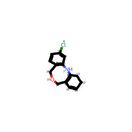 Clc1ccc2c(c1)NC1=C(C=CCC1)COC2